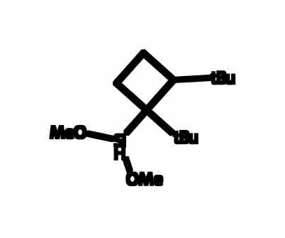 CO[SiH](OC)C1(C(C)(C)C)CCC1C(C)(C)C